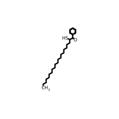 CCCCCCCCCCCCCCCCCCCC(S)C(=O)c1ccccc1